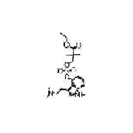 CCOC(=O)C(C)(C)COS(=O)(=O)Oc1cccc2[nH]cc(CCN(C)C)c12